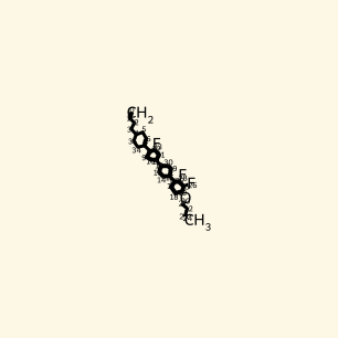 C=CCCC1CC=C(c2ccc(-c3ccc(-c4ccc(OCCCC)c(F)c4F)cc3)cc2F)CC1